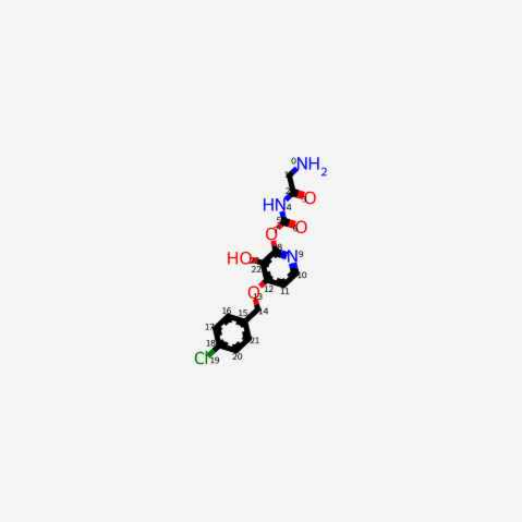 NCC(=O)NC(=O)Oc1nccc(OCc2ccc(Cl)cc2)c1O